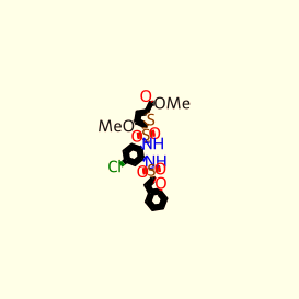 COC(=O)c1cc(OC)c(S(=O)(=O)Nc2ccc(Cl)cc2NS(=O)(=O)c2cc3ccccc3o2)s1